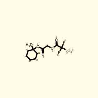 CC1(OC(=O)COC(=O)C(F)(F)S(=O)(=O)O)CCCCC1